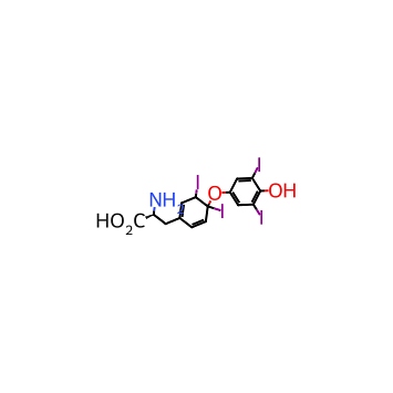 N[C@@H](CC1=CC(I)C(I)(Oc2cc(I)c(O)c(I)c2)C=C1)C(=O)O